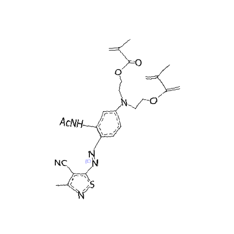 C=C(C)C(=C)OCCN(CCOC(=O)C(=C)C)c1ccc(/N=N/c2snc(C)c2C#N)c(NC(C)=O)c1